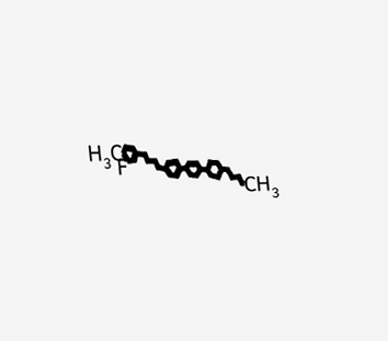 CCCCCC1CCC(C2C=CC(c3ccc(CCCCc4ccc(C)c(F)c4)cc3)CC2)CC1